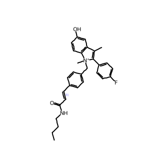 CCCCNC(=O)/C=C/c1ccc(C[N+]2(C)C(c3ccc(F)cc3)=C(C)c3cc(O)ccc32)cc1